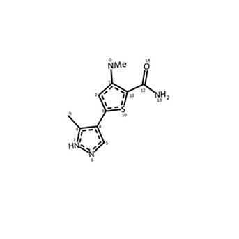 CNc1cc(-c2cn[nH]c2C)sc1C(N)=O